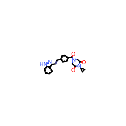 O=C(c1ccc(/C=C/c2n[nH]c3ccccc23)cc1)N1CC(=O)N(C2CC2)C(=O)C1